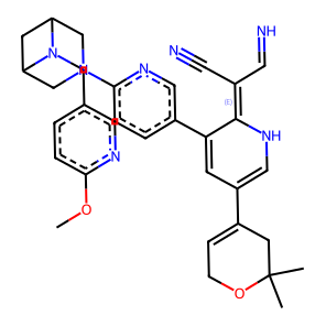 COc1ccc(CN2C3CC2CN(c2ccc(C4=CC(C5=CCOC(C)(C)C5)=CN/C4=C(/C#N)C=N)cn2)C3)cn1